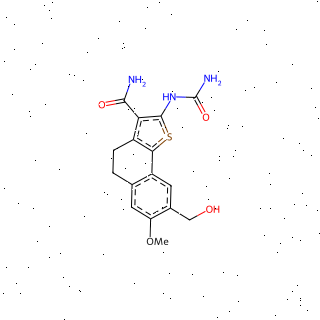 COc1cc2c(cc1CO)-c1sc(NC(N)=O)c(C(N)=O)c1CC2